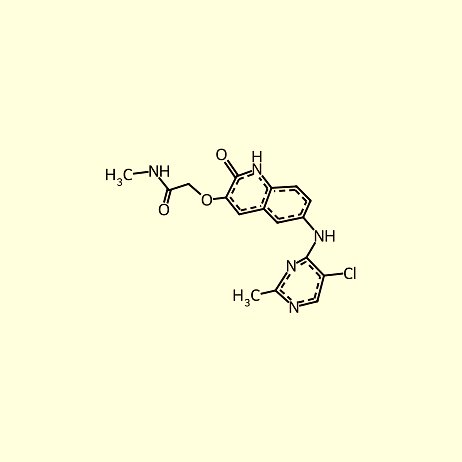 CNC(=O)COc1cc2cc(Nc3nc(C)ncc3Cl)ccc2[nH]c1=O